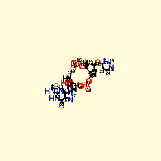 CC(C)(C)Nc1nc2c(ncn2[C@@H]2O[C@@H]3CO[P@@](=O)(S)O[C@H]4C[C@H](Oc5ccncn5)C[C@@H]4CO[PH](=O)O[C@@H]2[C@@H]3O)c(=O)[nH]1